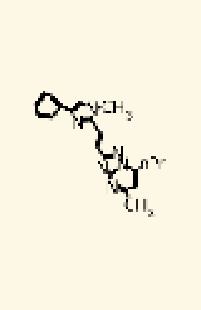 CCCc1cc(C)nc2nc(C=Cc3nc(-c4ccccc4)cn3C)nn12